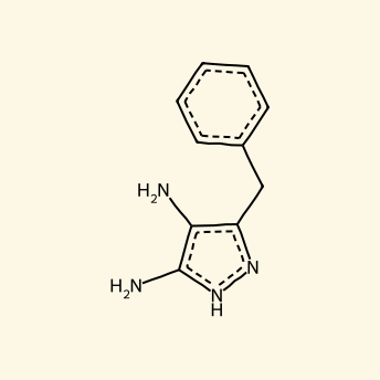 Nc1[nH]nc(Cc2ccccc2)c1N